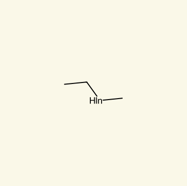 C[CH2][InH][CH3]